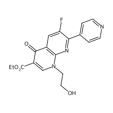 CCOC(=O)c1cn(CCO)c2nc(-c3ccncc3)c(F)cc2c1=O